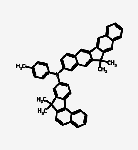 Cc1ccc(N(c2ccc3c(c2)C(C)(C)c2ccc4ccccc4c2-3)c2ccc3cc4c(cc3c2)C(C)(C)c2cc3ccccc3cc2-4)cc1